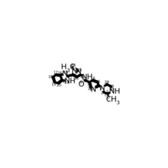 C[C@H]1CN(c2ccc(C(=O)Nc3cc(-c4nc5ccccc5[nH]4)n(C)n3)cn2)CCN1